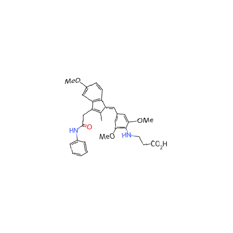 COc1ccc2c(c1)C(CC(=O)Nc1ccccc1)=C(C)C2=Cc1cc(OC)c(NCCC(=O)O)c(OC)c1